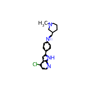 CN1CCCC(/C=N/c2ccc(-c3cc4c(Cl)ccnc4[nH]3)cc2)C1